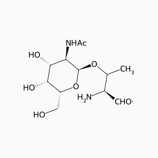 CC(=O)N[C@H]1[C@@H](OC(C)[C@H](N)[C]=O)O[C@H](CO)[C@H](O)[C@@H]1O